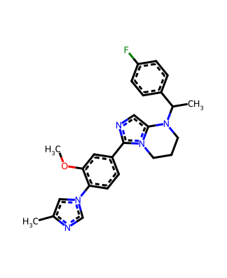 COc1cc(-c2ncc3n2CCCN3C(C)c2ccc(F)cc2)ccc1-n1cnc(C)c1